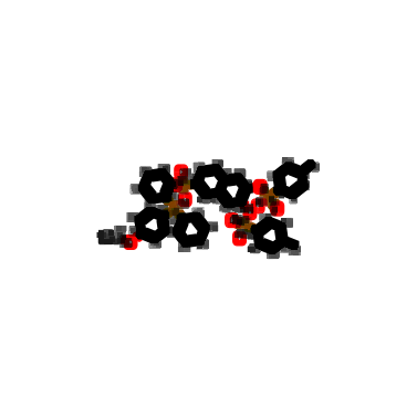 Cc1ccc(S(=O)(=O)Oc2cc3ccc(S(=O)(=O)OS(c4ccccc4)(c4ccccc4)c4ccc(OC(C)(C)C)cc4)cc3cc2OS(=O)(=O)c2ccc(C)cc2)cc1